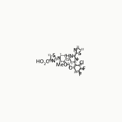 COC(=O)C1=C(C2CCN(c3nc(C(=O)O)cs3)CC2)NC(c2nccs2)=NC1c1ccc(F)c(F)c1Cl